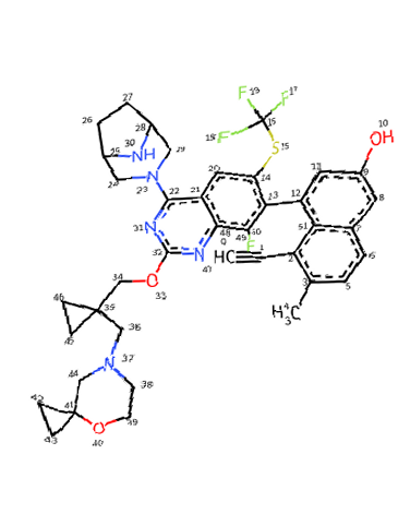 C#Cc1c(C)ccc2cc(O)cc(-c3c(SC(F)(F)F)cc4c(N5CC6CCC(C5)N6)nc(OCC5(CN6CCOC7(CC7)C6)CC5)nc4c3F)c12